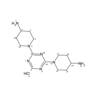 Cl.NC1CCN(c2ncnc(N3CCC(N)CC3)n2)CC1